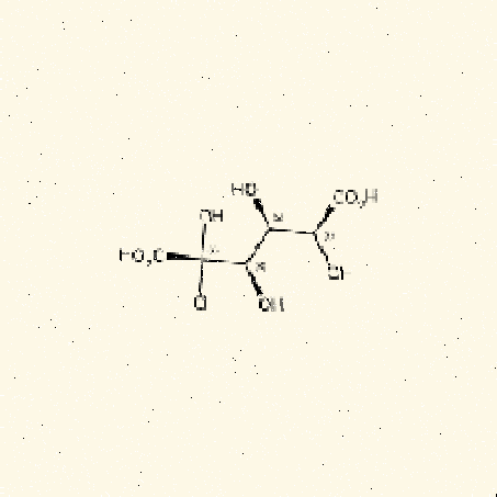 O=C(O)[C@@H](O)[C@H](O)[C@@H](O)[C@@](O)(Cl)C(=O)O